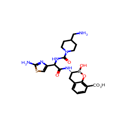 NCC1CCN(C(=O)NC(C(=O)N[C@H]2Cc3cccc(C(=O)O)c3OB2O)c2csc(N)n2)CC1